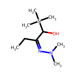 CCC(=NN(C)C)C(O)[Si](C)(C)C